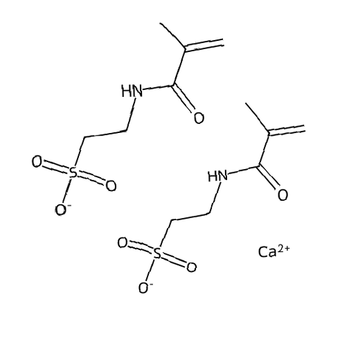 C=C(C)C(=O)NCCS(=O)(=O)[O-].C=C(C)C(=O)NCCS(=O)(=O)[O-].[Ca+2]